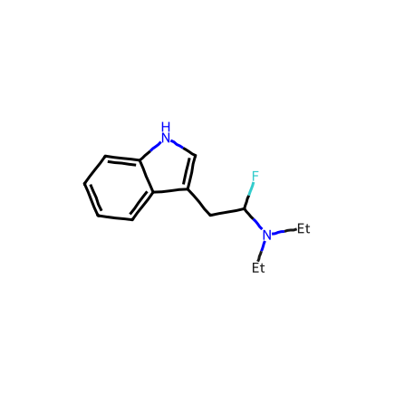 CCN(CC)C(F)Cc1c[nH]c2ccccc12